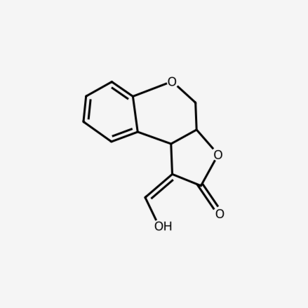 O=C1OC2COc3ccccc3C2C1=CO